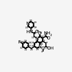 COC(O)Cc1c(C(N)=O)c(=O)n(CC(=O)Nc2cccnc2)c2cc(Cc3ccc(F)cc3)cnc12